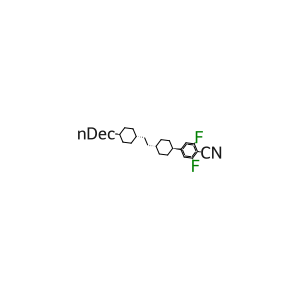 CCCCCCCCCC[C@H]1CC[C@H](CC[C@H]2CC[C@H](c3cc(F)c(C#N)c(F)c3)CC2)CC1